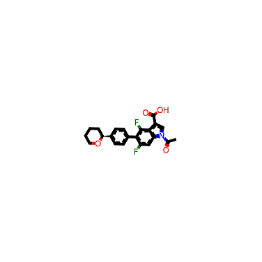 CC(=O)n1cc(C(=O)O)c2c(F)c(-c3ccc([C@@H]4CCCCO4)cc3)c(F)cc21